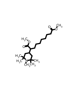 COC(=O)CCCCCCCC(C(=O)OC)C1CC(C)(C)N(C)C(C)(C)C1